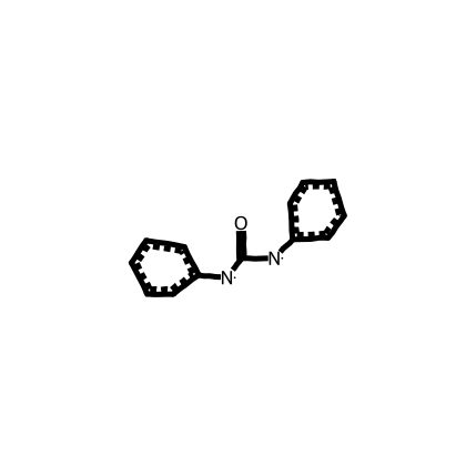 O=C([N]c1ccccc1)[N]c1ccccc1